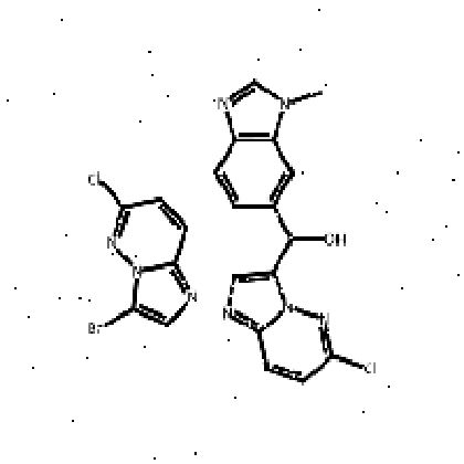 Clc1ccc2ncc(Br)n2n1.Cn1cnc2ccc(C(O)c3cnc4ccc(Cl)nn34)cc21